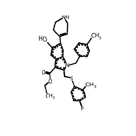 CCOC(=O)c1c(CSc2ccc(F)cc2C)n(Cc2ccc(C)cc2)c2cc(C3=CCNCC3)c(O)cc12